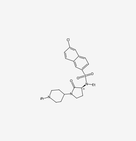 CCN([C@H]1CCN(C2CCN(C(C)C)CC2)C1=O)S(=O)(=O)c1ccc2cc(Cl)ccc2c1